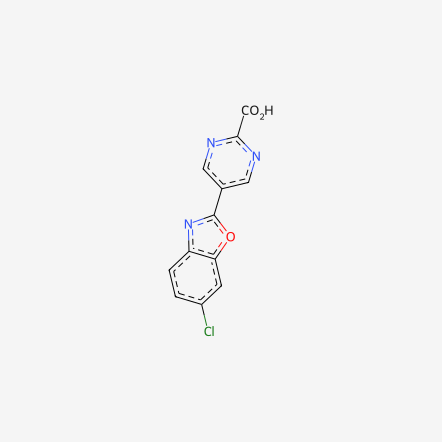 O=C(O)c1ncc(-c2nc3ccc(Cl)cc3o2)cn1